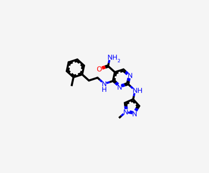 Cc1ccccc1CCNc1nc(Nc2cnn(C)c2)ncc1C(N)=O